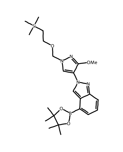 COc1nn(COCC[Si](C)(C)C)cc1-n1cc2c(B3OC(C)(C)C(C)(C)O3)cccc2n1